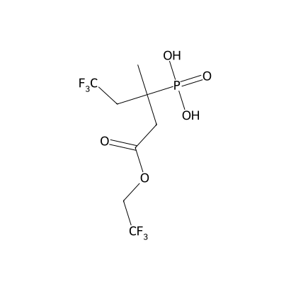 CC(CC(=O)OCC(F)(F)F)(CC(F)(F)F)P(=O)(O)O